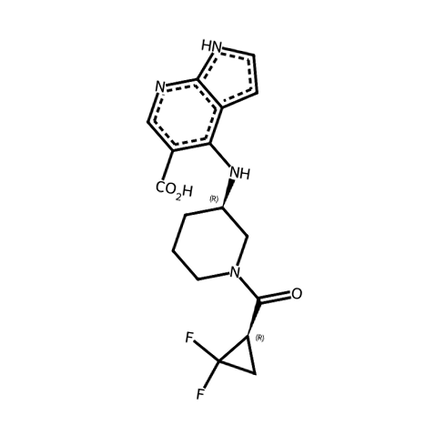 O=C(O)c1cnc2[nH]ccc2c1N[C@@H]1CCCN(C(=O)[C@H]2CC2(F)F)C1